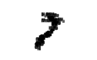 COc1cc(-c2cn(C)c(=O)c3c2CCN(C(=O)NCCCN2CCC4(CC2)CN(c2ccc5c(c2)C(=O)N(C2CCC(=O)NC2=O)C5=O)C4)C3)cc(OC)c1CN(C)C